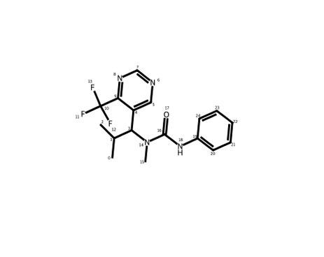 CC(C)C(c1cncnc1C(F)(F)F)N(C)C(=O)Nc1ccccc1